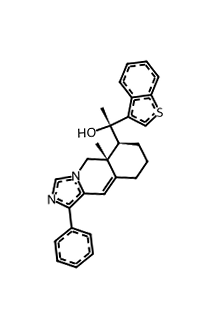 C[C@]12Cn3cnc(-c4ccccc4)c3C=C1CCC[C@@H]2[C@](C)(O)c1csc2ccccc12